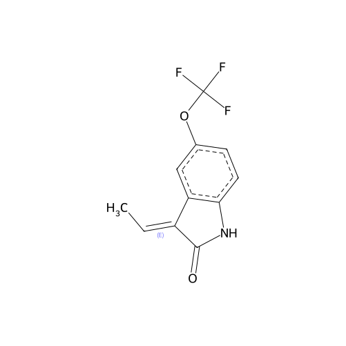 C/C=C1/C(=O)Nc2ccc(OC(F)(F)F)cc21